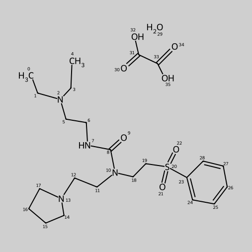 CCN(CC)CCNC(=O)N(CCN1CCCC1)CCS(=O)(=O)c1ccccc1.O.O=C(O)C(=O)O